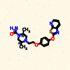 C[C@H]1CN(C(N)=O)[C@@H](C)CN1CCOc1ccc(Oc2nc3cccnc3s2)cc1